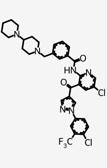 O=C(Nc1ncc(Cl)cc1C(=O)c1cnn(-c2ccc(Cl)c(C(F)(F)F)c2)c1)c1cccc(CN2CCC(N3CCCCC3)CC2)c1